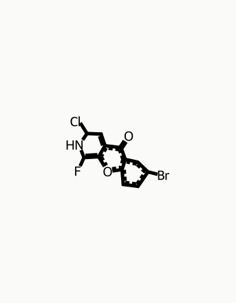 O=c1c2c(oc3ccc(Br)cc13)=C(F)NC(Cl)C=2